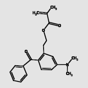 C=C(C)C(=O)OCCc1cc(N(C)C)ccc1C(=O)c1ccccc1